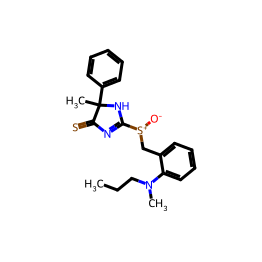 CCCN(C)c1ccccc1C[S+]([O-])C1=NC(=S)C(C)(c2ccccc2)N1